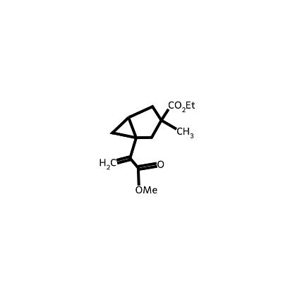 C=C(C(=O)OC)C12CC1CC(C)(C(=O)OCC)C2